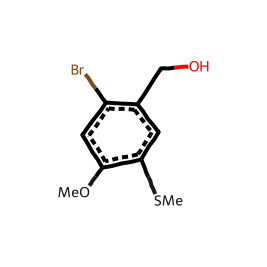 COc1cc(Br)c(CO)cc1SC